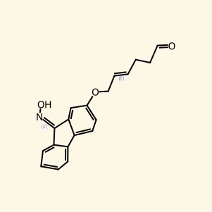 O=CCC/C=C/COc1ccc2c(c1)/C(=N\O)c1ccccc1-2